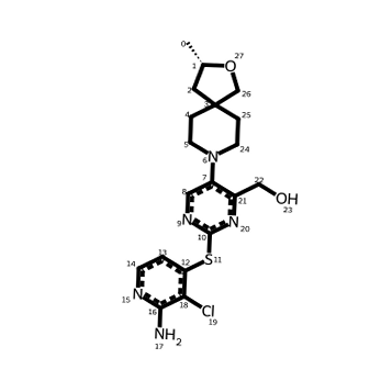 C[C@H]1CC2(CCN(c3cnc(Sc4ccnc(N)c4Cl)nc3CO)CC2)CO1